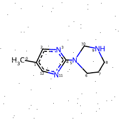 Cc1cnc(N2CCCNC2)nc1